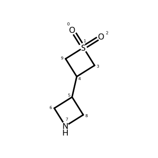 O=S1(=O)CC(C2CNC2)C1